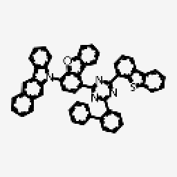 c1ccc(-c2ccccc2-c2nc(-c3cccc4c3sc3ccccc34)nc(-c3ccc(-n4c5ccccc5c5cc6ccccc6cc54)c4oc5ccccc5c34)n2)cc1